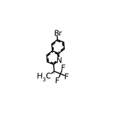 C[C](c1ccc2cc(Br)ccc2n1)C(F)(F)F